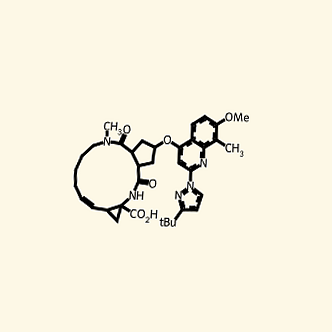 COc1ccc2c(OC3CC4C(=O)NC5(C(=O)O)CC5C=CCCCCN(C)C(=O)C4C3)cc(-n3ccc(C(C)(C)C)n3)nc2c1C